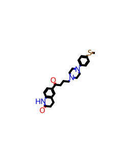 CSc1ccc(N2CCN(CCCC(=O)c3ccc4c(c3)CCC(=O)N4)CC2)cc1